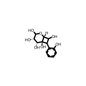 Oc1ccccc1C1C(O)[C@H]2OC(O)[C@@H](O)[C@@H](O)[C@@]12O